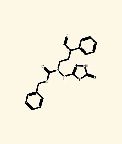 O=CC(CCN(Nc1n[nH]c(=S)s1)C(=O)OCc1ccccc1)c1ccccc1